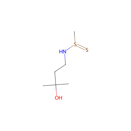 CS(=S)NCCC(C)(C)O